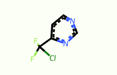 FC(F)(Cl)c1ccncn1